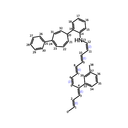 C/C=C/C=C(\C=C/C=C/C=C/C=C\Nc1ccccc1C1C=CC=C(c2ccccc2)C=C1)c1cccc(C)c1